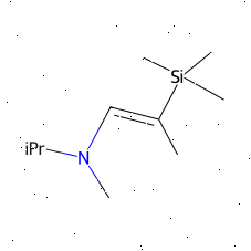 C/C(=C\N(C)C(C)C)[Si](C)(C)C